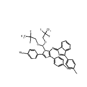 Cc1ccc(C2=N/C(=N\c3c(-c4ccc(C(C)(C)C)cc4)cc(-c4ccc(C(C)(C)C)cc4)n3B(OCC(F)(F)C(F)(F)F)OCC(F)(F)C(F)(F)F)c3ccccc32)cc1